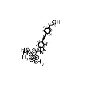 C[C@@](CCn1ncc2c(F)c(C#Cc3ccc(CCO)cc3)ccc21)(C(=O)NO)S(C)(=O)=O